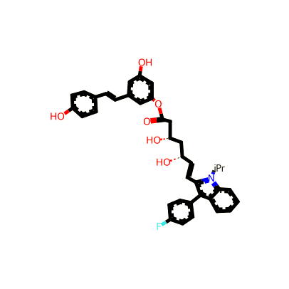 CC(C)n1c(/C=C/[C@H](O)C[C@H](O)CC(=O)Oc2cc(O)cc(/C=C/c3ccc(O)cc3)c2)c(-c2ccc(F)cc2)c2ccccc21